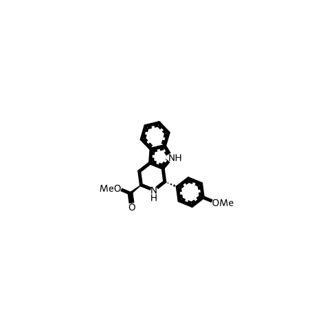 COC(=O)[C@H]1Cc2c([nH]c3ccccc23)[C@H](c2ccc(OC)cc2)N1